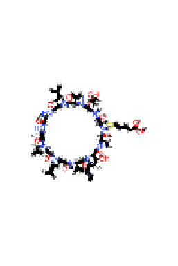 C/C=C/C[C@@H](C)[C@@H](O)[C@H]1C(=O)N[C@H](CC)C(=O)N(C)[C@H](CSCCCCC(=O)OC)C(=O)N(C)[C@@H](CC(C)(C)O)C(=O)N[C@H](C(C)C)C(=O)N(C)[C@H](CCC(C)C)C(=O)N[C@H](C)C(=O)N[C@@H](C)C(=O)N(C)[C@@H](CC(C)C)C(=O)N(C)[C@H](CCC(C)C)C(=O)N(C)[C@H](C(C)C)C(=O)N1C